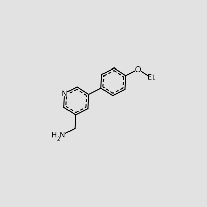 CCOc1ccc(-c2cncc(CN)c2)cc1